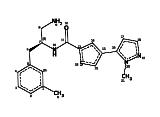 Cc1cccc(C[C@@H](CN)NC(=O)c2cc(-c3ccnn3C)cs2)c1